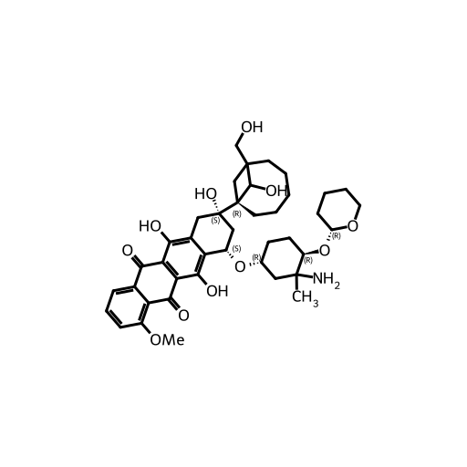 COc1cccc2c1C(=O)c1c(O)c3c(c(O)c1C2=O)C[C@@](O)([C@]12CCCCCC(CO)(C1)C2O)C[C@@H]3O[C@@H]1CC[C@@H](O[C@@H]2CCCCO2)C(C)(N)C1